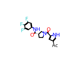 CC(=O)c1c[nH]c(C(=O)N2CC[C@H](C(=O)Nc3cc(F)c(F)c(F)c3)C2)c1